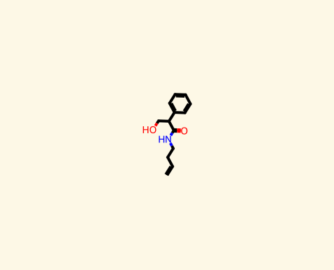 C=CCCNC(=O)C(CO)c1ccccc1